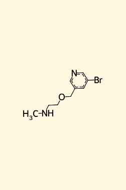 CNCCOCc1cncc(Br)c1